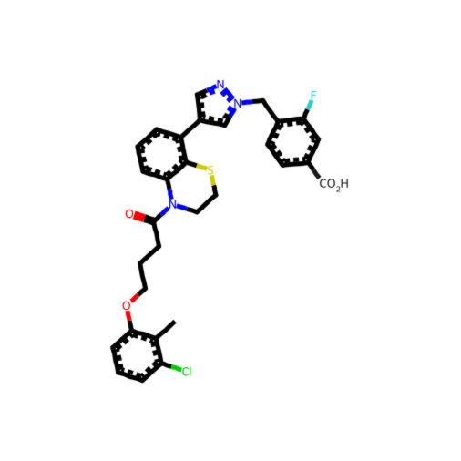 Cc1c(Cl)cccc1OCCCC(=O)N1CCSc2c(-c3cnn(Cc4ccc(C(=O)O)cc4F)c3)cccc21